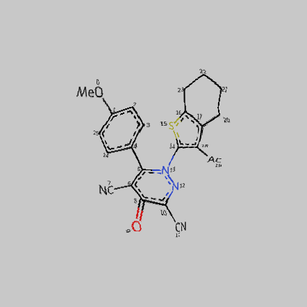 COc1ccc(-c2c(C#N)c(=O)c(C#N)nn2-c2sc3c(c2C(C)=O)CCCC3)cc1